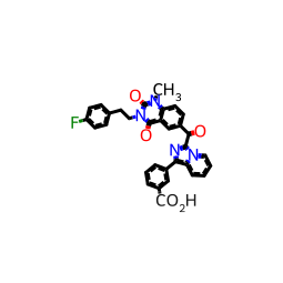 Cn1c(=O)n(CCc2ccc(F)cc2)c(=O)c2cc(C(=O)c3nc(-c4cccc(C(=O)O)c4)c4ccccn34)ccc21